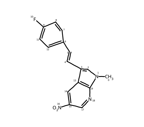 Cn1cc(C=Cc2ccc(F)cc2)c2cc([N+](=O)[O-])cnc21